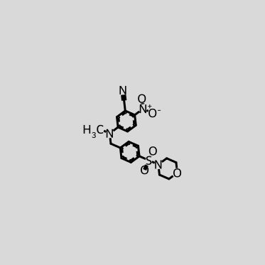 CN(Cc1ccc(S(=O)(=O)N2CCOCC2)cc1)c1ccc([N+](=O)[O-])c(C#N)c1